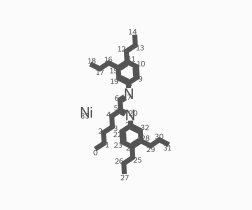 CCCCCC(C=Nc1ccc(CCC)c(CCC)c1)=Nc1ccc(CCC)c(CCC)c1.[Ni]